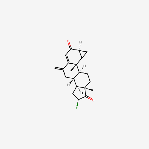 C=C1C[C@H]2[C@@H]3C[C@H](F)C(=O)[C@@]3(C)CC[C@@H]2[C@]2(C)C1=CC(=O)[C@H]1CC12